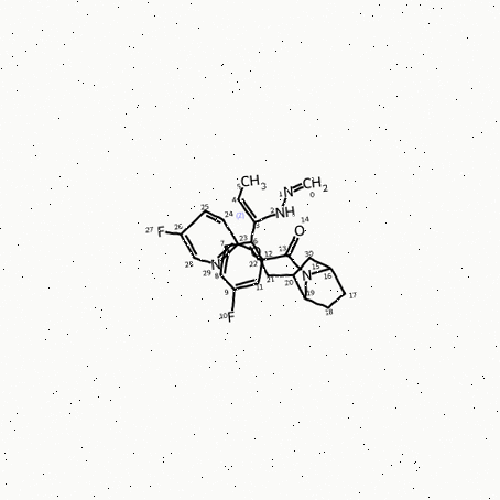 C=NN/C(=C\C)c1ccc(F)cc1C(=O)N1C2CCC1C(COc1ccc(F)cn1)C2